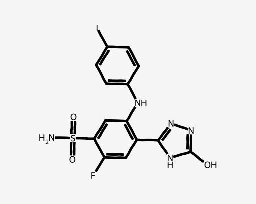 NS(=O)(=O)c1cc(Nc2ccc(I)cc2)c(-c2nnc(O)[nH]2)cc1F